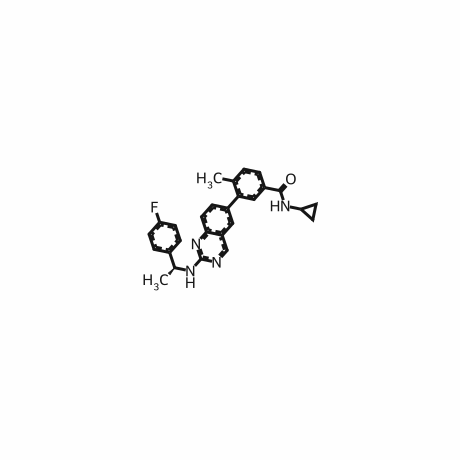 Cc1ccc(C(=O)NC2CC2)cc1-c1ccc2nc(N[C@@H](C)c3ccc(F)cc3)ncc2c1